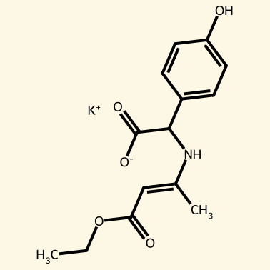 CCOC(=O)C=C(C)NC(C(=O)[O-])c1ccc(O)cc1.[K+]